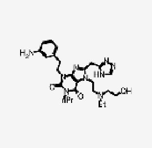 CCCn1c(=O)c2c(nc(Cc3nnc[nH]3)n2CCN(CC)CCO)n(CCc2cccc(N)c2)c1=O